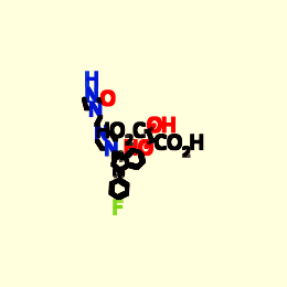 O=C(O)C(O)C(O)C(=O)O.O=C1NCCN1CCN1CCN([C@@H]2C[C@@H](c3ccc(F)cc3)c3ccccc32)CC1